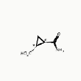 NC(=O)[C@@H]1C[C@H]1C(=O)O